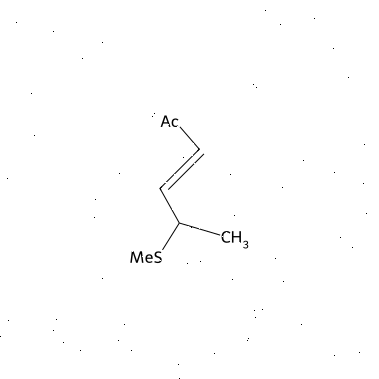 CSC(C)/C=C/C(C)=O